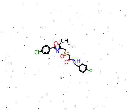 Cc1oc(-c2ccc(Cl)cc2)nc1C[S+]([O-])CC(=O)NCc1ccc(F)cc1